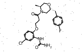 C[C@H]1CO[C@H](Cc2ccc(F)cc2)CN1C(=O)CCOc1ccc(Cl)cc1NC(N)=O